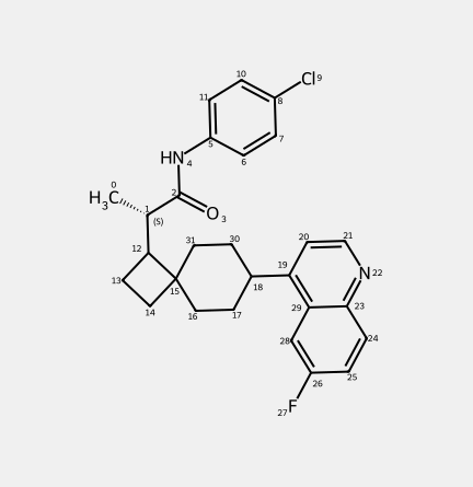 C[C@H](C(=O)Nc1ccc(Cl)cc1)C1CCC12CCC(c1ccnc3ccc(F)cc13)CC2